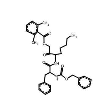 CCCCCC(NC(=O)C(Cc1ccccc1)NC(=O)OCc1ccccc1)C(=O)COC(=O)c1c(C)cccc1C